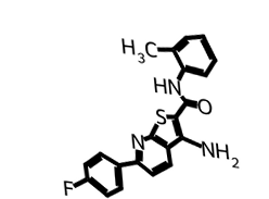 Cc1ccccc1NC(=O)c1sc2nc(-c3ccc(F)cc3)ccc2c1N